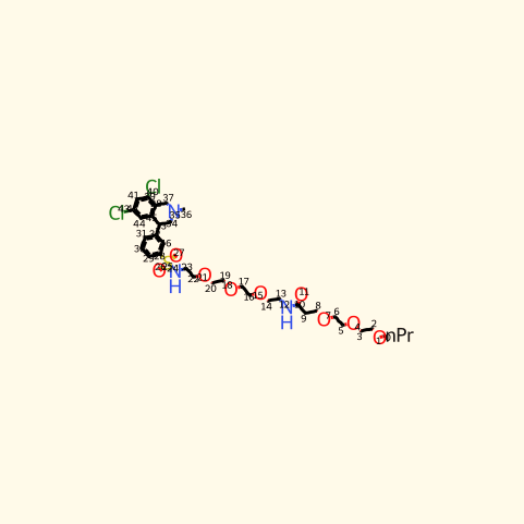 CCCOCCOCCOCCC(=O)NCCOCCOCCOCCNS(=O)(=O)c1cccc(C2CN(C)Cc3c(Cl)cc(Cl)cc32)c1